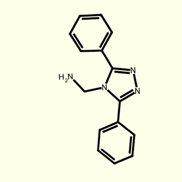 NCn1c(-c2ccccc2)nnc1-c1ccccc1